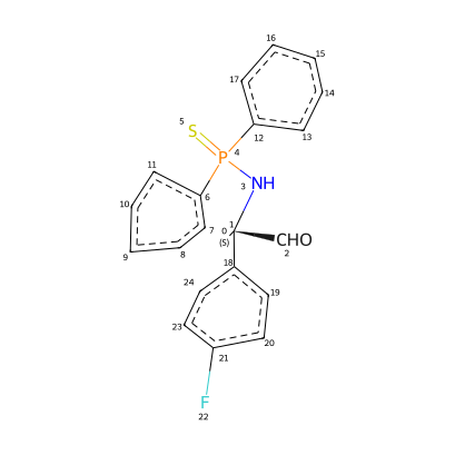 C[C@](C=O)(NP(=S)(c1ccccc1)c1ccccc1)c1ccc(F)cc1